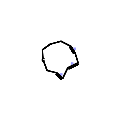 C1=C\CCCCC/C=C/C=C/1